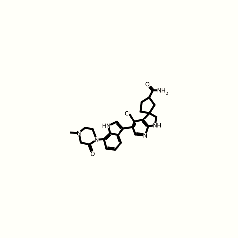 CN1CCN(c2cccc3c(-c4cnc5c(c4Cl)C4(CCC(C(N)=O)C4)CN5)c[nH]c23)C(=O)C1